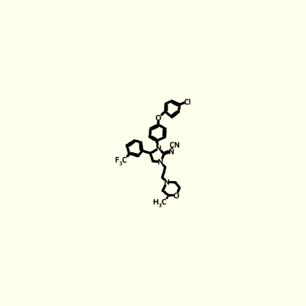 C[C@H]1CN(CCN2CC(c3cccc(C(F)(F)F)c3)N(c3ccc(Oc4ccc(Cl)cc4)cc3)/C2=N\C#N)CCO1